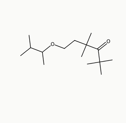 CC(C)C(C)OCCC(C)(C)C(=O)C(C)(C)C